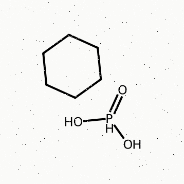 C1CCCCC1.O=[PH](O)O